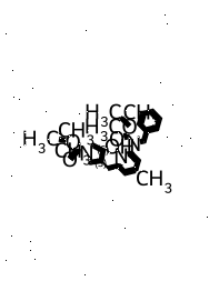 Cc1cc(C[C@H]2CN(C(=O)OC(C)(C)C)C[C@H]2O)nc(N(Cc2ccccc2)C(=O)OC(C)(C)C)c1